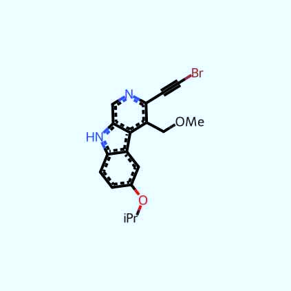 COCc1c(C#CBr)ncc2[nH]c3ccc(OC(C)C)cc3c12